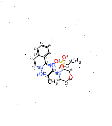 CCS(=O)(=O)O[N+]1=C2c3ccccc3C=CN2NC(C)=C1N1CCOCC1